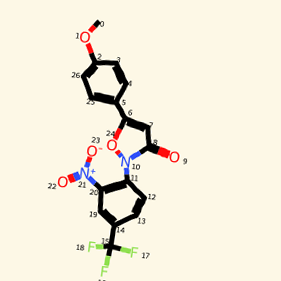 COc1ccc(-c2cc(=O)n(-c3ccc(C(F)(F)F)cc3[N+](=O)[O-])o2)cc1